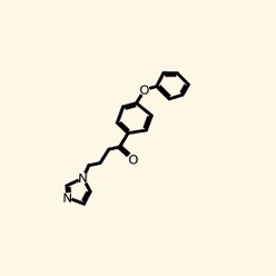 O=C(CCCn1ccnc1)c1ccc(Oc2ccccc2)cc1